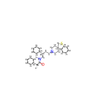 C[C@@H](C(=O)N(C)C[C@H](CCN1CCC2(CC1)CSc1ccccc12)c1ccccc1)c1ccccc1